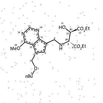 CCCCOCn1cc(CN[C@@H](C(=O)OCC)[C@@H](O)C(=O)OCC)c2ncnc(OC)c21